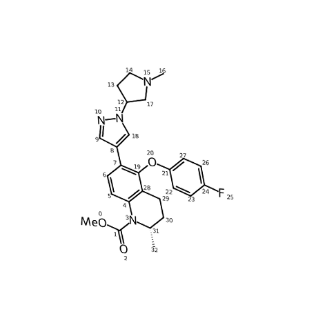 COC(=O)N1c2ccc(-c3cnn(C4CCN(C)C4)c3)c(Oc3ccc(F)cc3)c2CC[C@@H]1C